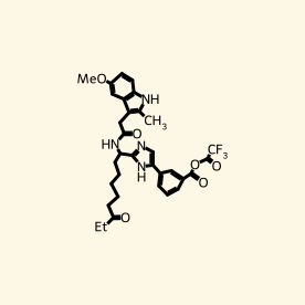 CCC(=O)CCCCCC(NC(=O)Cc1c(C)[nH]c2ccc(OC)cc12)c1ncc(-c2cccc(C(=O)OC(=O)C(F)(F)F)c2)[nH]1